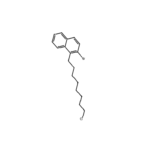 ClCCCCCCCCc1c(Br)ccc2ccccc12